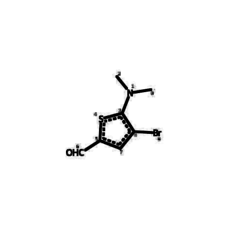 CN(C)c1sc(C=O)cc1Br